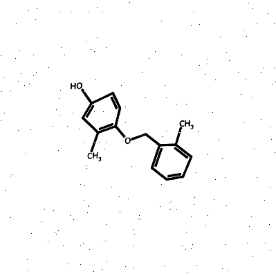 Cc1ccccc1COc1ccc(O)cc1C